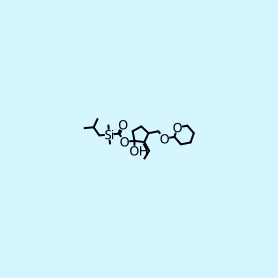 CC=C1C(COC2CCCCO2)CCC1(O)OC(=O)[Si](C)(C)CC(C)C